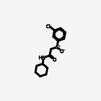 O=C(C[S+]([O-])c1cccc(Cl)c1)NC1CCCCC1